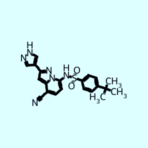 CC(C)(C)c1ccc(S(=O)(=O)Nc2ccc(C#N)c3cc(-c4cn[nH]c4)nn23)cc1